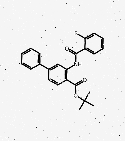 CC(C)(C)OC(=O)c1ccc(-c2ccccc2)cc1NC(=O)c1ccccc1F